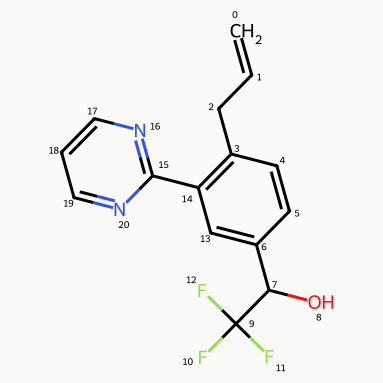 C=CCc1ccc(C(O)C(F)(F)F)cc1-c1ncccn1